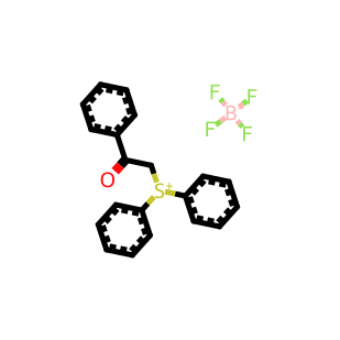 F[B-](F)(F)F.O=C(C[S+](c1ccccc1)c1ccccc1)c1ccccc1